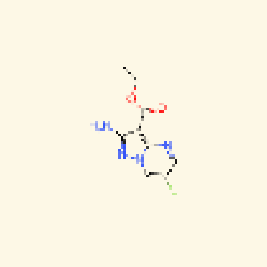 CCOC(=O)c1c(N)nn2cc(F)cnc12